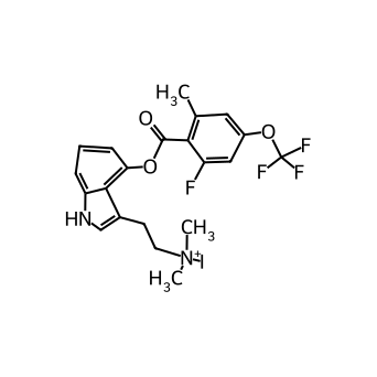 Cc1cc(OC(F)(F)F)cc(F)c1C(=O)Oc1cccc2[nH]cc(CC[N+](C)(C)I)c12